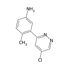 Cc1ccc(N)cc1-c1cc(Cl)cnn1